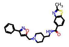 Cc1nc2cc(C(=O)NCC3CCN(Cc4cc(-c5ccccc5)no4)CC3)ccc2s1